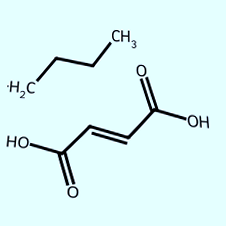 O=C(O)/C=C/C(=O)O.[CH2]CCC